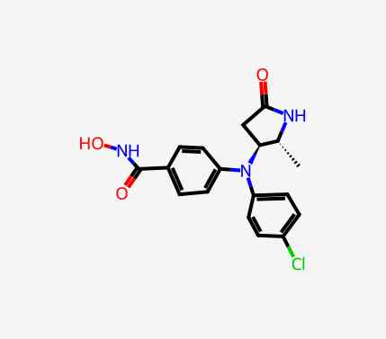 C[C@H]1NC(=O)C[C@@H]1N(c1ccc(Cl)cc1)c1ccc(C(=O)NO)cc1